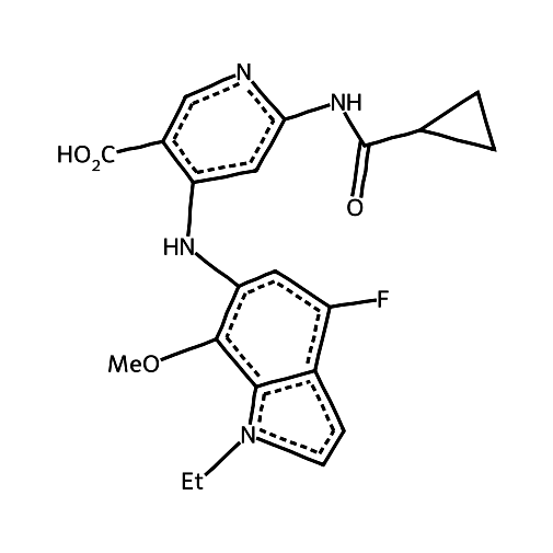 CCn1ccc2c(F)cc(Nc3cc(NC(=O)C4CC4)ncc3C(=O)O)c(OC)c21